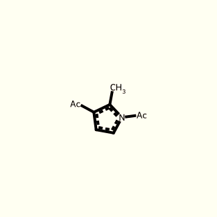 CC(=O)c1ccn(C(C)=O)c1C